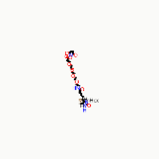 CCCCCCN1C(=O)N[C@H]2CS[C@@H](CCCCC(=O)NCCOCCOCCOCCOCCC(=O)ON3C(=O)CCC3=O)[C@H]21